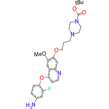 COc1cc2c(Oc3ccc(N)cc3F)ccnc2cc1OCCCN1CCN(C(=O)OC(C)(C)C)CC1